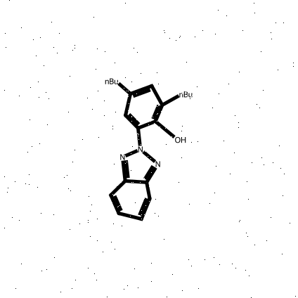 CCCCc1cc(CCCC)c(O)c(-n2nc3ccccc3n2)c1